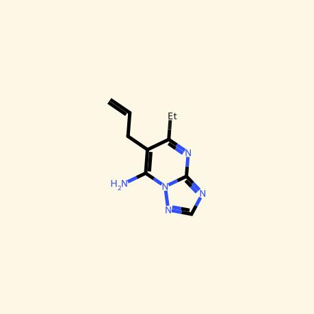 C=CCc1c(CC)nc2ncnn2c1N